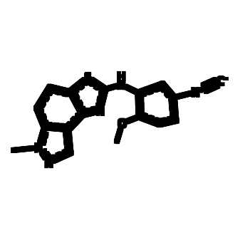 [C-]#[N+]c1ccc(OC)c(Nc2nc3c(ccc4c3cnn4C)s2)c1